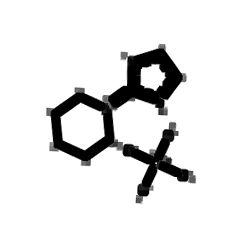 [O-][Cl+3]([O-])([O-])[O-].c1csc(=[N+]2CCCCC2)s1